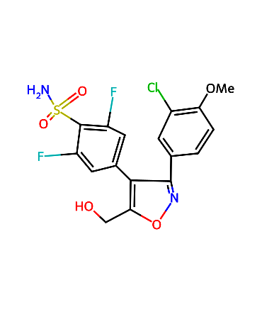 COc1ccc(-c2noc(CO)c2-c2cc(F)c(S(N)(=O)=O)c(F)c2)cc1Cl